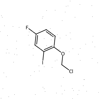 Fc1ccc(OCCl)c(I)c1